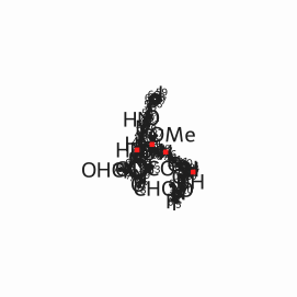 C#C[C@H]1CC(F)(F)CN1C(=O)CNC(=O)c1ccnc2ccc(OCCCN3CCN(C(=O)[C@H](CC(=O)OC)NC(=O)[C@H](CCCC/N=C(\C)NC(=O)CCCc4ccc(I)cc4)NC(=O)CN4CCN(COC=O)CCN(COC=O)CCN(CC(=O)O)CC4)CC3)cc12